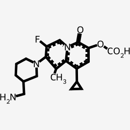 Cc1c(N2CCCC(CN)C2)c(F)cn2c(=O)c(OC(=O)O)cc(C3CC3)c12